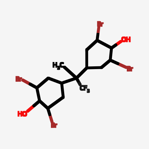 CC(C1CC(Br)C(O)C(Br)C1)(C1CC(Br)C(O)C(Br)C1)C(F)(F)F